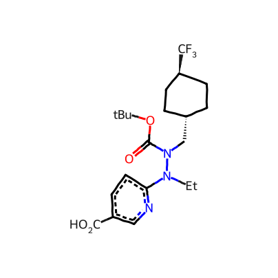 CCN(c1ccc(C(=O)O)cn1)N(C[C@H]1CC[C@H](C(F)(F)F)CC1)C(=O)OC(C)(C)C